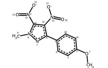 COc1ccc(-c2nn(C)c([N+](=O)[O-])c2[N+](=O)[O-])cc1